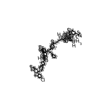 Cc1ncsc1-c1ccc([C@H](C)NC(=O)C[C@@H]2C[C@@H](O)CN2C(=O)[C@@H](NC(=O)CCCCCCC(=O)N2CCN(CC[C@H](CSc3ccccc3)Nc3ccc(S(=O)(=O)NC(=O)c4ccc(N5CCN(CC6=C(c7ccc(Cl)cc7F)CCC7(C6)CC7(F)F)CC5)cc4)cc3S(=O)(=O)C(F)(F)F)CC2)C(C)(C)C)cc1